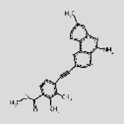 COC(=O)c1ccc(C#Cc2cnc3c(N)nc4cc(C)ccc4c3c2)c(C)c1C